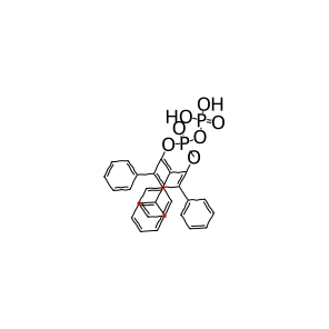 O=P(O)(O)OP1(=O)Oc2c(-c3ccccc3)c(c(-c3ccccc3)c(-c3ccccc3)c2-c2ccccc2)O1